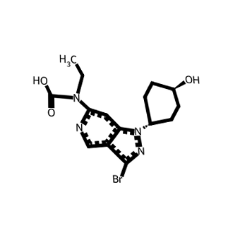 CCN(C(=O)O)c1cc2c(cn1)c(Br)nn2[C@H]1CC[C@H](O)CC1